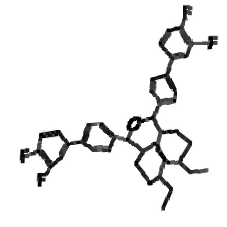 CCC1CCC(C(OC(c2ccc(-c3ccc(F)c(F)c3)cc2)C2CCC(CC)CC2)c2ccc(-c3ccc(F)c(F)c3)cc2)CC1